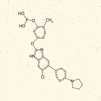 Cc1ccc(Oc2nc3cc(-c4ccc(N5CCCC5)cc4)c(Cl)cc3[nH]2)cc1OP(O)O